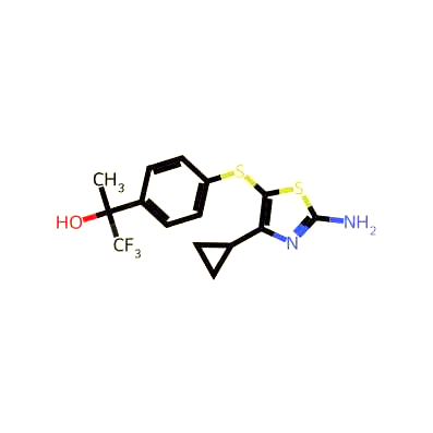 CC(O)(c1ccc(Sc2sc(N)nc2C2CC2)cc1)C(F)(F)F